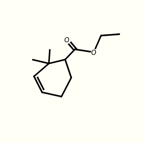 CCOC(=O)C1CCC=CC1(C)C